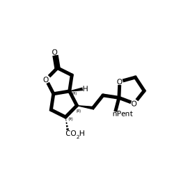 CCCCCC1(CC[C@H]2[C@H](C(=O)O)CC3OC(=O)C[C@@H]32)OCCO1